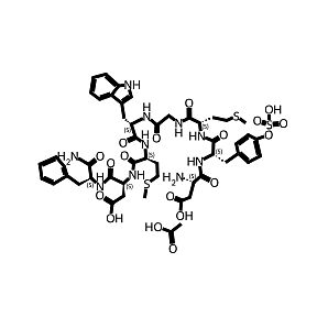 CC(=O)O.CSCC[C@H](NC(=O)[C@H](Cc1ccc(OS(=O)(=O)O)cc1)NC(=O)[C@@H](N)CC(=O)O)C(=O)NCC(=O)N[C@@H](Cc1c[nH]c2ccccc12)C(=O)N[C@@H](CCSC)C(=O)N[C@@H](CC(=O)O)C(=O)N[C@@H](Cc1ccccc1)C(N)=O